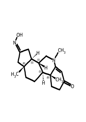 CN1C[C@H]2[C@@H]3CC(=NO)C[C@@]3(C)CC[C@@H]2[C@@]2(C)CCC(=O)C=C12